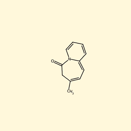 CC1=CC=C2C=CC=CN2C(=O)C1